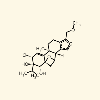 COCc1occ2c1CC[C@]1(C)C3=C[C@@H](Cl)[C@@](O)(C(C)C)[C@@H](O)[C@]34CC(O4)[C@@H]21